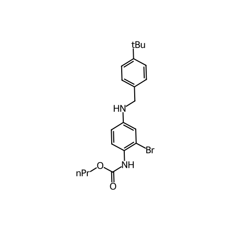 CCCOC(=O)Nc1ccc(NCc2ccc(C(C)(C)C)cc2)cc1Br